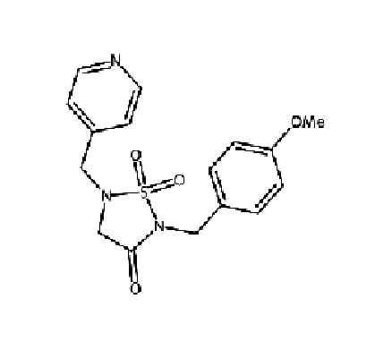 COc1ccc(CN2C(=O)CN(Cc3ccncc3)S2(=O)=O)cc1